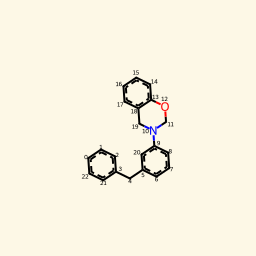 c1ccc(Cc2cccc(N3COc4ccccc4C3)c2)cc1